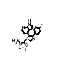 CN(C)C(=O)Cn1cnc(-c2ccc(F)cc2)c1-c1ccnc2[nH]ccc12